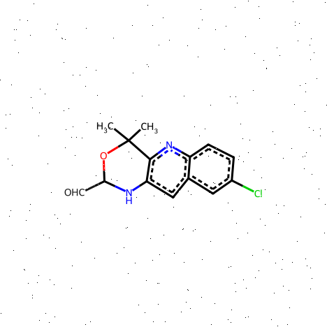 CC1(C)OC(C=O)Nc2cc3cc(Cl)ccc3nc21